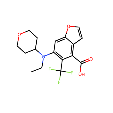 CCN(c1cc2occc2c(C(=O)O)c1C(F)(F)F)C1CCOCC1